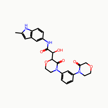 Cc1cc2cc(NC(=O)C(O)C3OCCN(c4cccc(N5CCOCC5=O)c4)C3=O)ccc2[nH]1